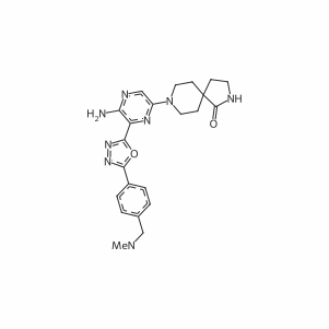 CNCc1ccc(-c2nnc(-c3nc(N4CCC5(CCNC5=O)CC4)cnc3N)o2)cc1